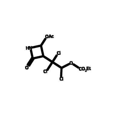 CCOC(=O)OC(Cl)C(Cl)(Cl)C1C(=O)NC1OC(C)=O